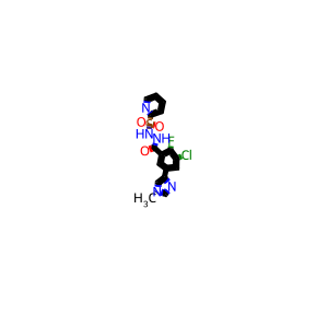 Cn1cnc(-c2cc(Cl)c(F)c(C(=O)NNS(=O)(=O)c3ccccn3)c2)c1